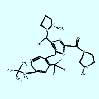 C[C@H]1CCCN1C(O)c1nc(C(=O)N2CC[C@@H](O)C2)sc1-c1cnc(NC(C)(C)C)cc1C(F)(F)F